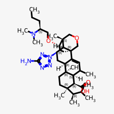 CCC[C@@H](CO[C@H]1[C@H](n2nnc(N)n2)C[C@@]23COC[C@]1(C)[C@@H]2CC[C@H]1C3=CC(C)[C@H]2[C@@H](C(=O)O)[C@@](C)([C@H](C)C(C)C)CC[C@@]12C)N(C)C